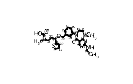 CCNc1ncc2c(n1)N(C)CCN(c1cccc(COC(CCN(C)C(=O)O)c3cccs3)c1)C2=O